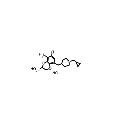 Cl.Nc1c(Cl)cc(CC2CCN(CC3CC3)CC2)c2c1OC(C(=O)O)CO2